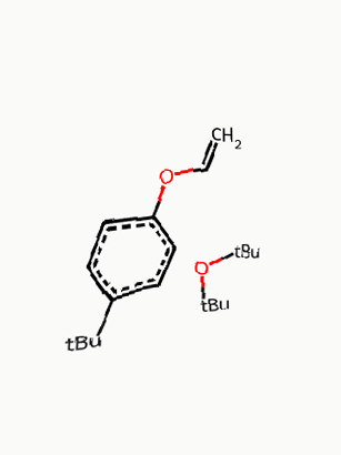 C=COc1ccc(C(C)(C)C)cc1.CC(C)(C)OC(C)(C)C